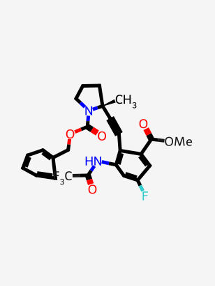 COC(=O)c1cc(F)cc(NC(=O)C(F)(F)F)c1C#C[C@@]1(C)CCCN1C(=O)OCc1ccccc1